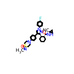 CN=S1(=O)CCN(c2ccc(-c3cn(-c4ccc(F)cc4)nc3[C@@H]3CCCC[C@H]3C(=O)NC3(C#N)CC3)cc2)CC1